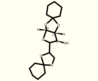 O[C@H]1C(C2COC3(CCCCC3)O2)O[C@@H]2OC3(CCCCC3)O[C@@H]21